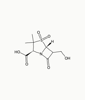 CC1(C)[C@H](C(=O)O)N2C(=O)C(CO)[C@H]2S1(=O)=O